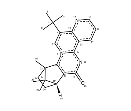 CC(C)(C)c1cn2c3c(c(=O)nc2c2cccnc12)[C@@H]1CCC3(C)C1(C)C